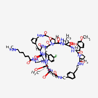 CNCCCCCC(=O)NC[C@H]1NC(=O)[C@H](C)NC(=O)CCC(=O)N2CCCCCCn3cc(c4cc(F)ccc43)CC3NC(=O)[C@H](Cc4cccc(c4)CNC(=O)CO[C@H]4CCN(C3=O)C4C(=O)N[C@@H]([C@@H](C)O)C(=O)N[C@@H](Cc3ccc(OC)cc3)C(=O)N3CCC[C@@]3(C)C(=O)NCCc3ccc(cc3)C2)NC1=O